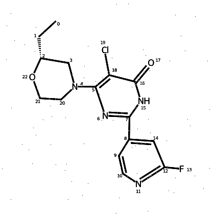 CC[C@@H]1CN(c2nc(-c3ccnc(F)c3)[nH]c(=O)c2Cl)CCO1